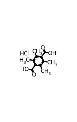 Cc1c(C)c(C(=O)O)c(C)c(C)c1C(=O)O.Cl